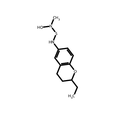 CCC1CCc2cc(NSN(C)O)ccc2O1